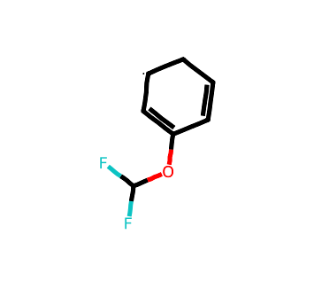 FC(F)OC1=C[CH]CC=C1